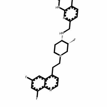 O=C1CSc2ccc(CN[C@H]3CCN(CCc4ccnc5c(F)cc(F)cc45)C[C@H]3F)nc2N1